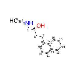 C#CNCC(O)CCc1cccc2ccccc12